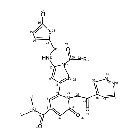 CN(C)C(=O)c1cc(-c2cc(NCc3ccc(Cl)s3)n(C(=O)C(C)(C)C)n2)n(CC(=O)c2ccnnc2)c(=O)c1